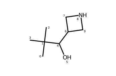 CC(C)(C)C(O)C1CNC1